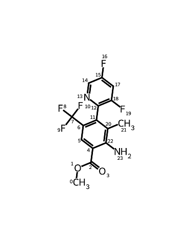 COC(=O)c1cc(C(F)(F)F)c(-c2ncc(F)cc2F)c(C)c1N